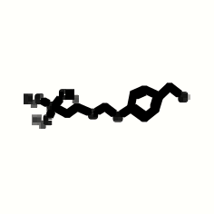 C[Si](C)(C)CCOCOc1ccc(C[O])cc1